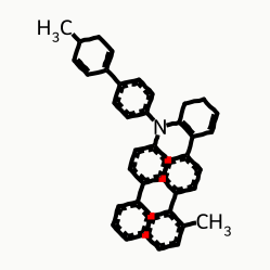 Cc1ccccc1-c1ccc(C2=C(N(c3ccc(C4=CCC(C)C=C4)cc3)c3ccc(-c4ccccc4)cc3)CCC=C2)cc1